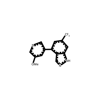 COc1cncc(-c2cc(C(F)(F)F)cc3[nH]ncc23)c1